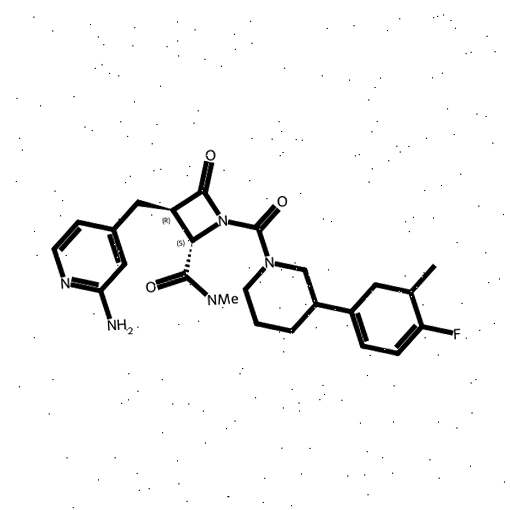 CNC(=O)[C@@H]1[C@@H](Cc2ccnc(N)c2)C(=O)N1C(=O)N1CCCC(C2=CC=C(F)C(C)C2)C1